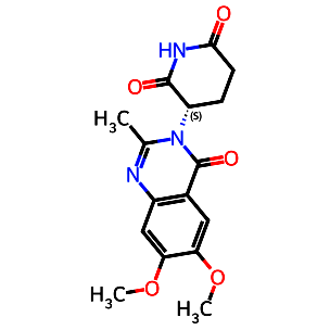 COc1cc2nc(C)n([C@H]3CCC(=O)NC3=O)c(=O)c2cc1OC